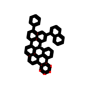 c1ccc(-c2ccc(-c3ccccc3N(c3cccc(-c4cccc5ccccc45)c3)c3cccc(-c4ccccc4)c3-c3ccccc3-c3ccccc3)cc2)cc1